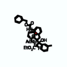 CCOC(=O)C(F)(F)[C@@](O)(c1cccc(C)c1)[C@@](CC1C=CC=C(NC(=O)OCc2ccccc2)C1=O)(NC(C)=O)c1ncccn1